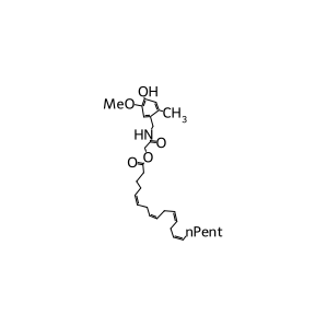 CCCCC/C=C\C/C=C\C/C=C\C/C=C\CCCC(=O)OCC(=O)NCc1cc(OC)c(O)cc1C